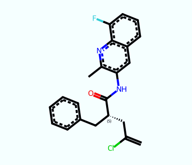 C=C(Cl)C[C@H](Cc1ccccc1)C(=O)Nc1cc2cccc(F)c2nc1C